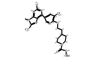 Cn1c(C(F)(F)F)nc2c(-c3cnc(OCCC4CCN(C(=O)OC(C)(C)C)CC4)c(C(F)(F)F)c3)nc(Cl)nc21